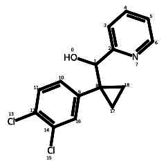 OC(c1ccccn1)C1(c2ccc(Cl)c(Cl)c2)CC1